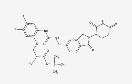 CC(COc1cc(F)c(F)cc1NC(=O)NCc1ccc2c(c1)CN(C1CCC(=O)NC1=O)C2=O)C(=O)OC(C)(C)C